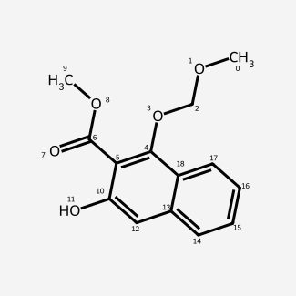 COCOc1c(C(=O)OC)c(O)cc2ccccc12